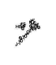 CCCCOC(=O)CCOCCOCCNC(=O)[C@H]1CC(=O)N(C)[C@@H]1c1cccnc1.O=C(O)C(F)(F)F